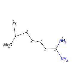 CCC(CCCCC(N)N)OC